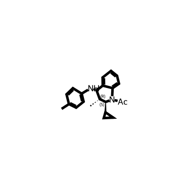 CC(=O)N1c2ccccc2[C@H](Nc2ccc(C)cc2)[C@@H](C)[C@@H]1C1CC1